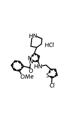 COc1ccccc1C(=O)n1nc(C2CCNCC2)cc1NCc1ccc(Cl)s1.Cl